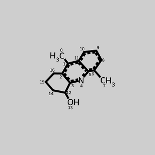 Cc1c2c(nc3c(C)cccc13)C(O)CCC2